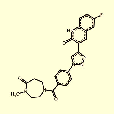 CN1CCN(C(=O)c2ccc(-n3cc(-c4cc5cc(F)ccc5[nH]c4=O)nn3)cc2)CCC1=O